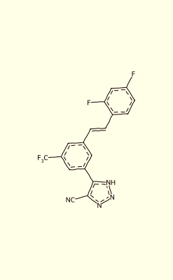 N#Cc1nn[nH]c1-c1cc(C=Cc2ccc(F)cc2F)cc(C(F)(F)F)c1